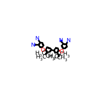 CC(C)(C)c1cc(-c2ccc(Oc3ccc(C#N)c(C#N)c3)c(C(C)(C)C)c2)ccc1Oc1ccc(C#N)c(C#N)c1